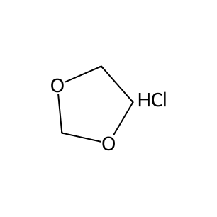 C1COCO1.Cl